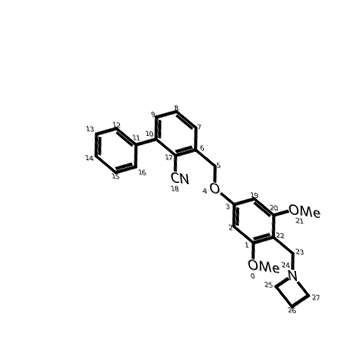 COc1cc(OCc2cccc(-c3ccccc3)c2C#N)cc(OC)c1CN1CCC1